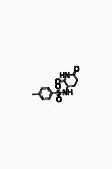 Cc1ccc(S(=O)(=O)NC2CCC(=O)NC2=O)cc1